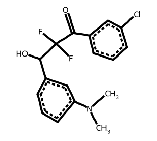 CN(C)c1cccc(C(O)C(F)(F)C(=O)c2cccc(Cl)c2)c1